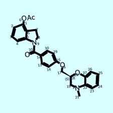 CC(=O)Oc1cccc2c1CCN2C(=O)c1ccc(OC[C@@H]2CN(C)c3ccccc3O2)cc1